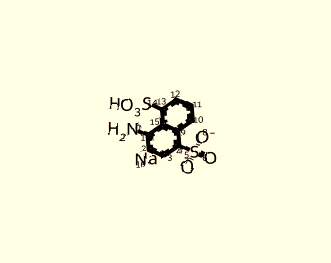 Nc1ccc(S(=O)(=O)[O-])c2cccc(S(=O)(=O)O)c12.[Na+]